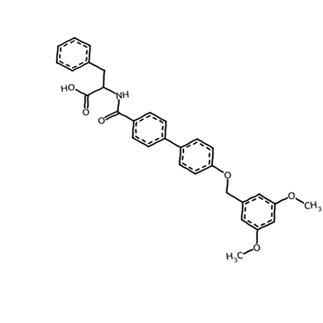 COc1cc(COc2ccc(-c3ccc(C(=O)NC(Cc4ccccc4)C(=O)O)cc3)cc2)cc(OC)c1